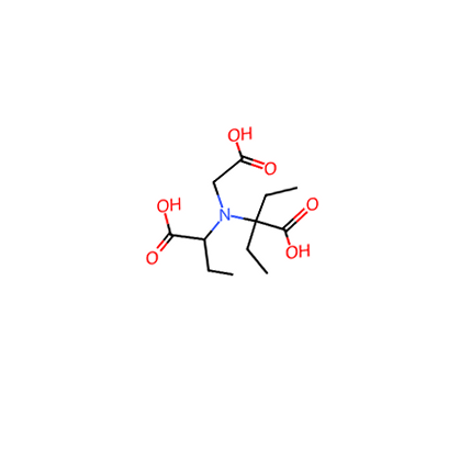 CCC(C(=O)O)N(CC(=O)O)C(CC)(CC)C(=O)O